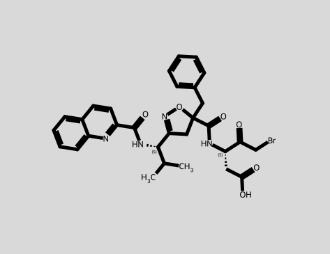 CC(C)[C@H](NC(=O)c1ccc2ccccc2n1)C1=NOC(Cc2ccccc2)(C(=O)N[C@@H](CC(=O)O)C(=O)CBr)C1